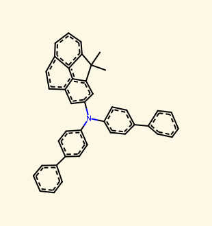 CC1(C)c2cccc3ccc4cc(N(c5ccc(-c6ccccc6)cc5)c5ccc(-c6ccccc6)cc5)cc1c4c23